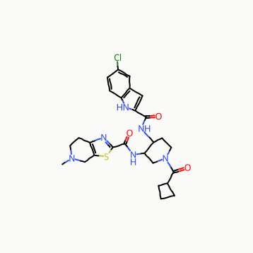 CN1CCc2nc(C(=O)NC3CN(C(=O)C4CCC4)CCC3NC(=O)c3cc4cc(Cl)ccc4[nH]3)sc2C1